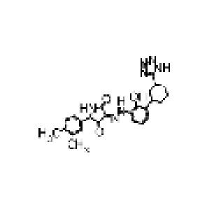 Cc1ccc(C2NC(=O)/C(=N\Nc3cccc(C4CCCC(c5nnn[nH]5)C4)c3O)C2=O)cc1C